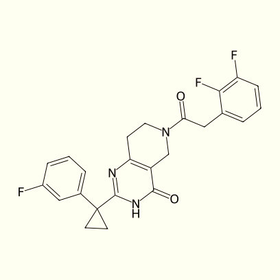 O=C(Cc1cccc(F)c1F)N1CCc2nc(C3(c4cccc(F)c4)CC3)[nH]c(=O)c2C1